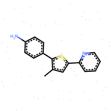 Cc1cc(-c2ccccn2)sc1-c1ccc(N)cc1